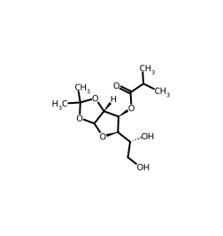 CC(C)C(=O)O[C@H]1[C@@H]([C@H](O)CO)OC2OC(C)(C)O[C@@H]21